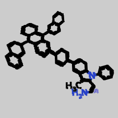 CC1=C(/C=C\N)N(c2ccccc2)C2CC=C(C3=CCC(c4ccc5c(c4)C(c4ccc6c(c4)C=CCC6)=C4C=CC=CC4C5C4C=Cc5ccccc5C4)C=C3)C=C12